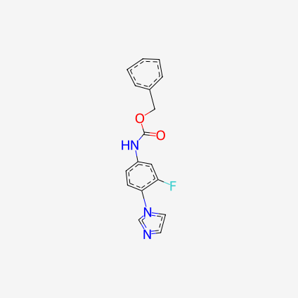 O=C(Nc1ccc(-n2ccnc2)c(F)c1)OCc1ccccc1